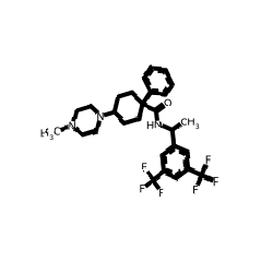 CC(NC(=O)C1(c2ccccc2)CCC(N2CCN(C)CC2)CC1)c1cc(C(F)(F)F)cc(C(F)(F)F)c1